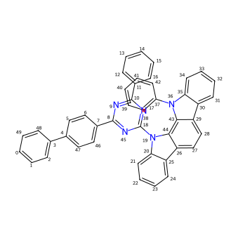 c1ccc(-c2ccc(-c3nc(-c4ccccc4)nc(-n4c5ccccc5c5ccc6c7ccccc7n(-c7ccccc7)c6c54)n3)cc2)cc1